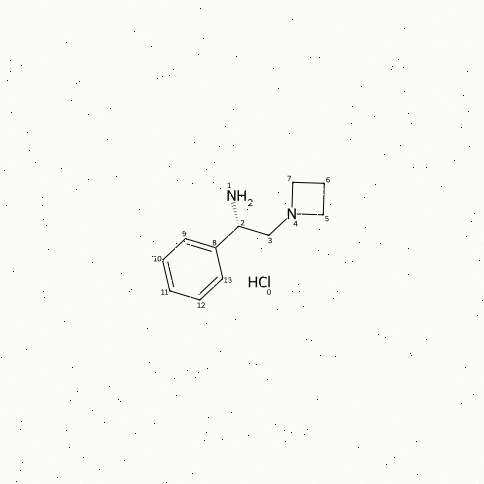 Cl.N[C@H](CN1CCC1)c1ccccc1